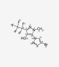 Cn1nc(C(F)(F)C(F)(F)F)c(O)c1-n1cc(Br)cn1